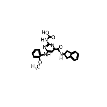 COc1ccccc1Nc1cc(C(=O)NC2Cc3ccccc3C2)nc(NC(=O)O)n1